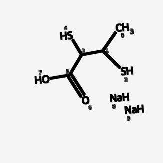 CC(S)C(S)C(=O)O.[NaH].[NaH]